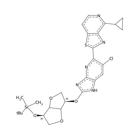 CC(C)(C)[Si](C)(C)O[C@@H]1COC2C1OC[C@H]2Oc1nc2nc(-c3nc4c(C5CC5)nccc4s3)c(Cl)cc2[nH]1